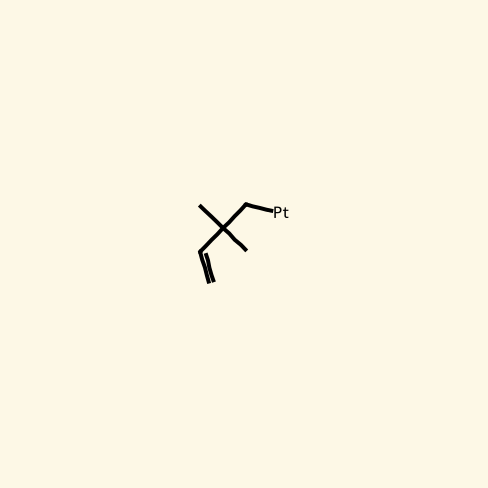 C=CC(C)(C)[CH2][Pt]